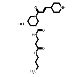 CCCCOC(=O)CCNC(=O)[C@@H]1CCCN(C(=O)/C=C/C2CCNCC2)C1.Cl